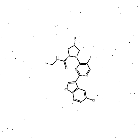 CCNC(=O)[C@H]1C[C@H](F)CN1c1nc(-c2c[nH]c3ncc(Cl)cc23)ncc1F